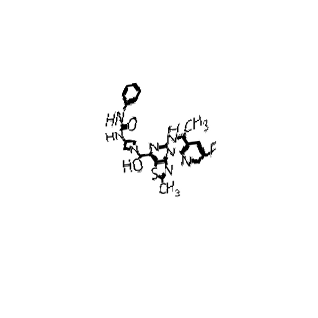 Cc1nc2nc(N[C@@H](C)c3cncc(F)c3)nc(C(O)N3CC(NC(=O)Nc4ccccc4)C3)c2s1